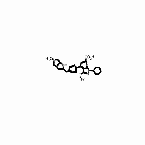 CC(C)Oc1nn(C2CCCCC2)c2nc(C(=O)O)cc(-c3ccc(CC4CC5CN(C)CC5N4)cc3)c12